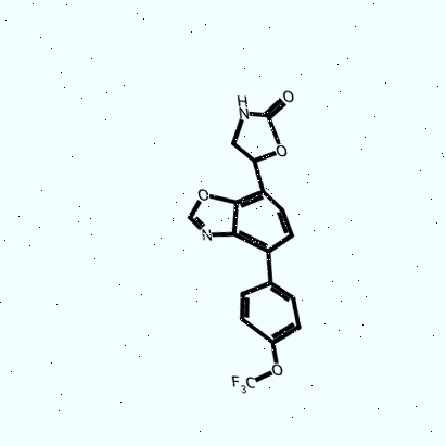 O=C1NCC(c2ccc(-c3ccc(OC(F)(F)F)cc3)c3ncoc23)O1